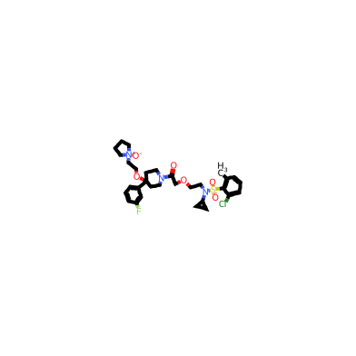 Cc1cccc(Cl)c1S(=O)(=O)N(CCOCC(=O)N1CCC(OCC[N+]2([O-])CCCC2)(c2cccc(F)c2)CC1)C1CC1